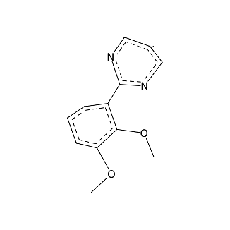 COc1cccc(-c2nc[c]cn2)c1OC